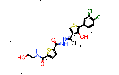 C/C(=N\NC(=O)c1ccc(C(=O)NCCO)s1)c1csc(-c2ccc(Cl)c(Cl)c2)c1O